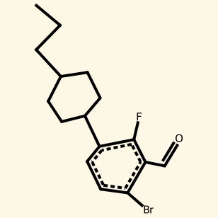 CCCC1CCC(c2ccc(Br)c(C=O)c2F)CC1